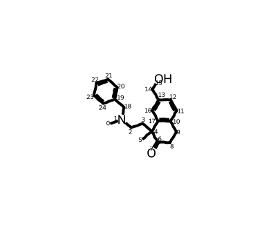 CN(CCC1(C)C(=O)CCc2ccc(CO)cc21)Cc1ccccc1